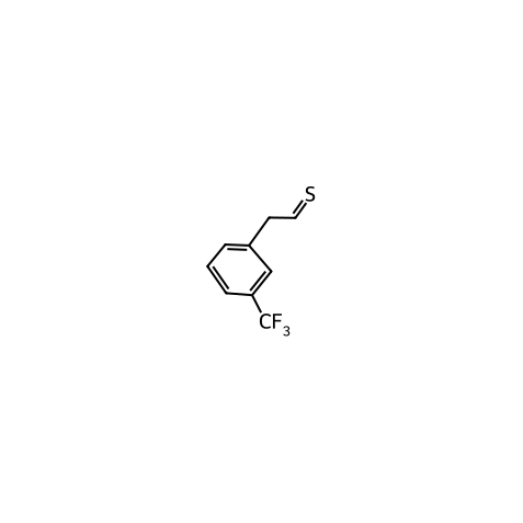 FC(F)(F)c1cccc(CC=S)c1